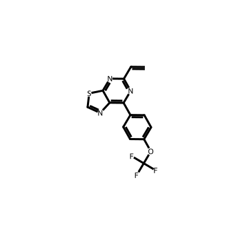 C=Cc1nc(-c2ccc(OC(F)(F)F)cc2)c2ncsc2n1